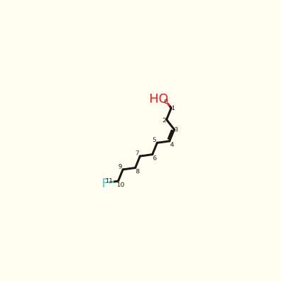 OCC/C=C\CCCCCCF